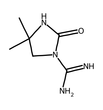 CC1(C)CN(C(=N)N)C(=O)N1